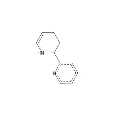 [c]1ccnc(C2CCC=CN2)c1